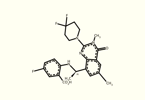 Cc1cc([C@@H](C)Nc2ccc(F)cc2C(=O)O)c2nc(N3CCC(F)(F)CC3)n(C)c(=O)c2c1